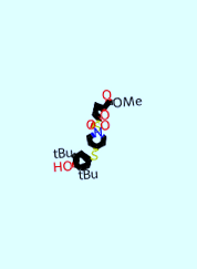 COC(=O)c1ccc(S(=O)(=O)N2CCC(Sc3cc(C(C)(C)C)c(O)c(C(C)(C)C)c3)CC2)o1